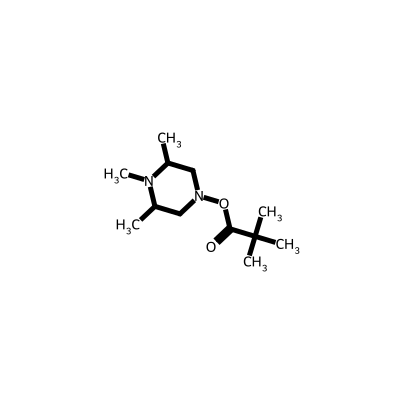 CC1CN(OC(=O)C(C)(C)C)CC(C)N1C